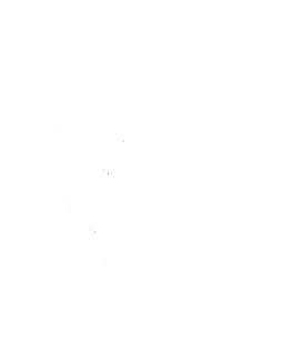 CCN1CC(C2c3cccc(F)c3CCc3c(F)cccc32)n2ncc(=O)c(O)c2C1=O